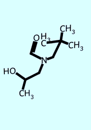 CC(O)CN(C=O)CC(C)(C)C